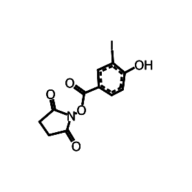 O=C(ON1C(=O)CCC1=O)c1ccc(O)c(I)c1